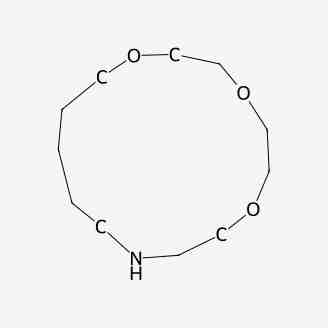 C1CCNCCOCCOCCOCC1